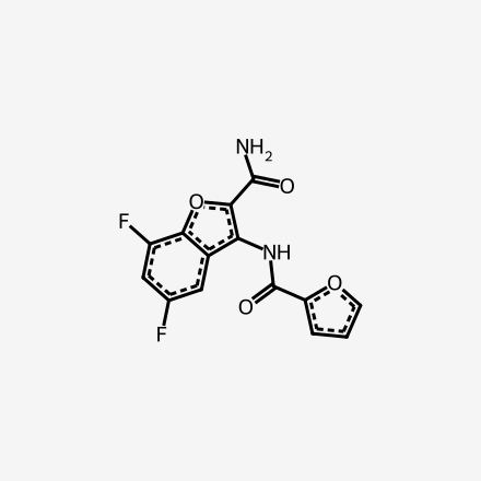 NC(=O)c1oc2c(F)cc(F)cc2c1NC(=O)c1ccco1